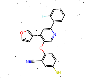 N#Cc1cc(S)ccc1Oc1cnc(-c2ccccc2F)cc1-c1ccoc1